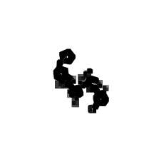 COc1cnc(-c2cc(Cl)ccc2F)nc1Nc1c[nH]nc1-c1nc2cc(CN3CCCC3)ccc2[nH]1